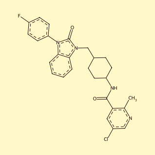 Cc1ncc(Cl)cc1C(=O)NC1CCC(Cn2c(=O)n(-c3ccc(F)cc3)c3ccccc32)CC1